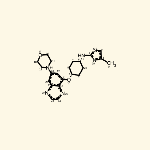 Cc1csc(N[C@H]2CC[C@@H](Oc3cc(N4CCOCC4)cc4nccnc34)CC2)n1